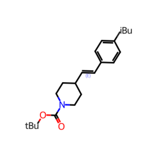 CCC(C)c1ccc(/C=C/C2CCN(C(=O)OC(C)(C)C)CC2)cc1